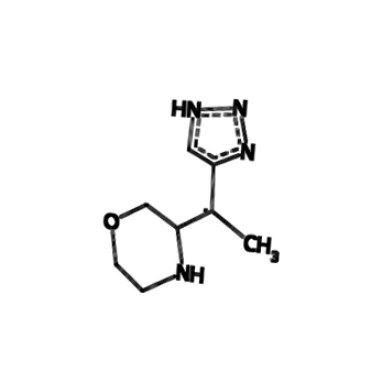 C[C](c1c[nH]nn1)C1COCCN1